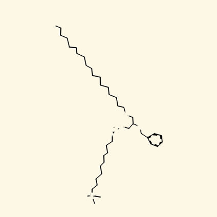 CCCCCCCCCCCCCCCCCCOCC(COP(=O)([O-])OCCCCCCCCCC[N+](C)(C)C)OCc1ccccc1